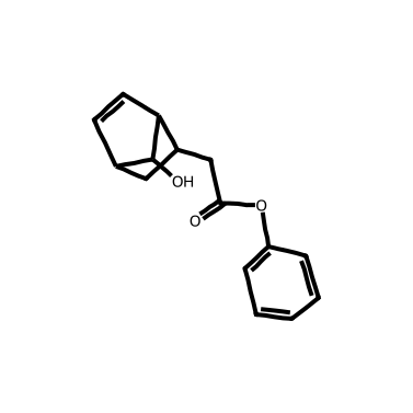 O=C(CC1CC2C=CC1C2O)Oc1ccccc1